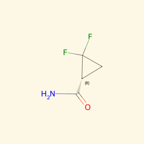 NC(=O)[C@H]1CC1(F)F